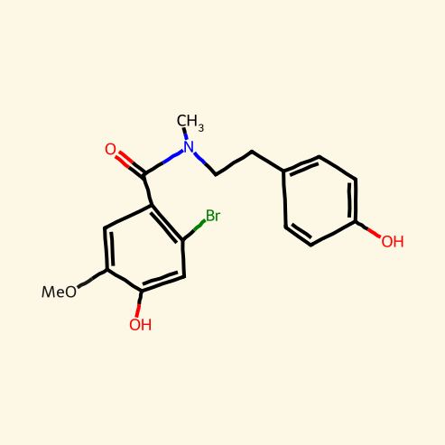 COc1cc(C(=O)N(C)CCc2ccc(O)cc2)c(Br)cc1O